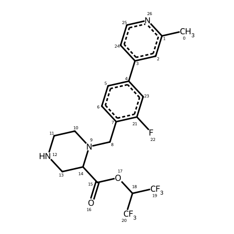 Cc1cc(-c2ccc(CN3CCNCC3C(=O)OC(C(F)(F)F)C(F)(F)F)c(F)c2)ccn1